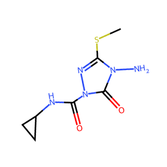 CSc1nn(C(=O)NC2CC2)c(=O)n1N